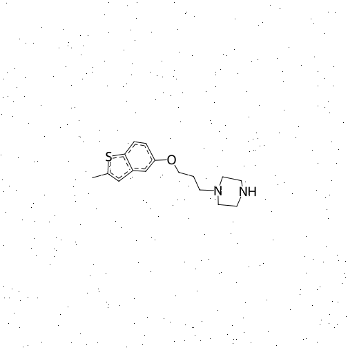 Cc1cc2cc(OCCCN3CCNCC3)ccc2s1